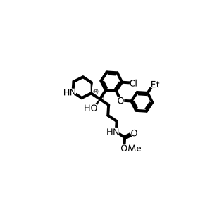 CCc1cccc(Oc2c(Cl)cccc2[C@](O)(CCCNC(=O)OC)[C@@H]2CCCNC2)c1